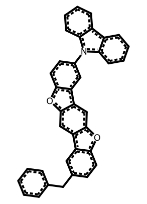 c1ccc(Cc2ccc3oc4cc5c(cc4c3c2)oc2ccc(-n3c4ccccc4c4ccccc43)cc25)cc1